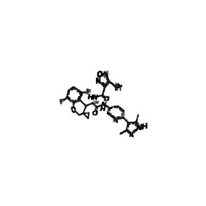 Cc1n[nH]c(C)c1-c1ccc(NC(=O)[C@@H](NC(=O)c2nonc2C(C)C)C2c3c(F)ccc(F)c3OCC23CC3)cn1